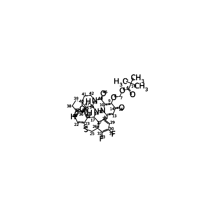 CC(C)(C)C(=O)OCOc1c2n(ccc1=O)N([C@@H]1c3ccccc3SCc3c1ccc(F)c3F)[C@@H]1[C@H]3C[C@@H]4CC[C@@]3(CCN1C2=O)O4